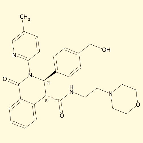 Cc1ccc(N2C(=O)c3ccccc3[C@@H](C(=O)NCCN3CCOCC3)[C@@H]2c2ccc(CO)cc2)nc1